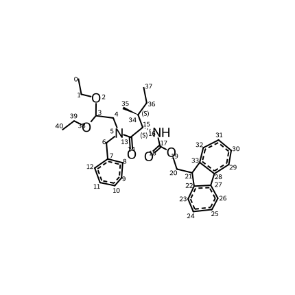 CCOC(CN(Cc1ccccc1)C(=O)[C@@H](NC(=O)OCC1c2ccccc2-c2ccccc21)[C@@H](C)CC)OCC